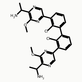 COc1nc(-c2cccc(-c3cccc(-c4cnc(C(C)N)c(OC)n4)c3Cl)c2Cl)cnc1C(C)N